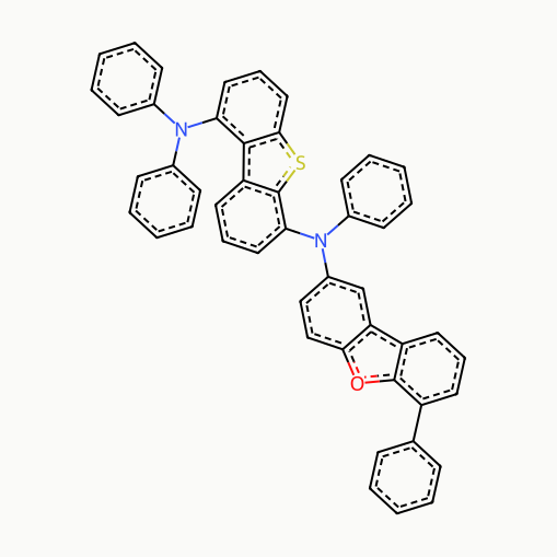 c1ccc(-c2cccc3c2oc2ccc(N(c4ccccc4)c4cccc5c4sc4cccc(N(c6ccccc6)c6ccccc6)c45)cc23)cc1